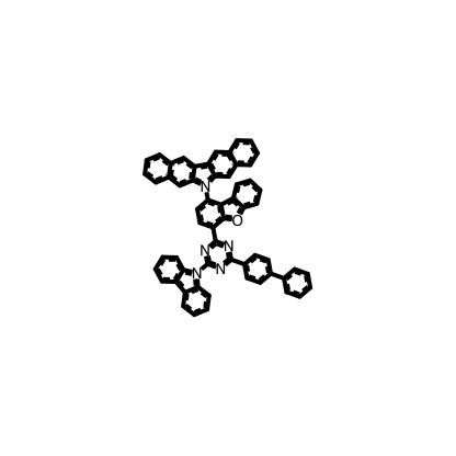 c1ccc(-c2ccc(-c3nc(-c4ccc(-n5c6cc7ccccc7cc6c6cc7ccccc7cc65)c5c4oc4ccccc45)nc(-n4c5ccccc5c5ccccc54)n3)cc2)cc1